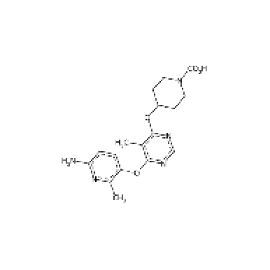 Cc1nc(N)ccc1Oc1ncnc(OC2CCN(C(=O)O)CC2)c1C